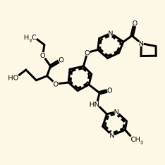 CCOC(=O)C(CCO)Oc1cc(Oc2ccc(C(=O)N3CCC3)nc2)cc(C(=O)Nc2cnc(C)cn2)c1